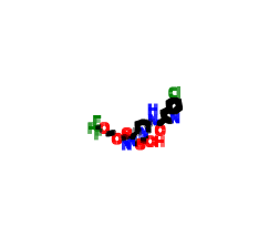 O=C(N[C@H]1CC[C@H](c2nnc(OCCOC(F)(F)F)o2)N(C(=O)O)C1)c1cnc2ccc(Cl)cc2c1